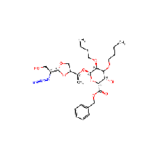 CCCCOC1[C@H](O)[C@H](C(=O)OCc2ccccc2)O[C@@H](O[C@@H](C)C2CO[C@@H]([C@H](CO)N=[N+]=[N-])O2)[C@H]1OCCCC